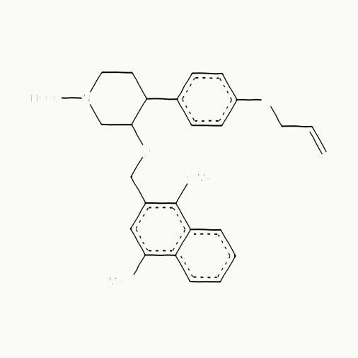 C=CCOc1ccc(C2CCN(C(=O)O)CC2OCc2cc(OC)c3ccccc3c2OC)cc1